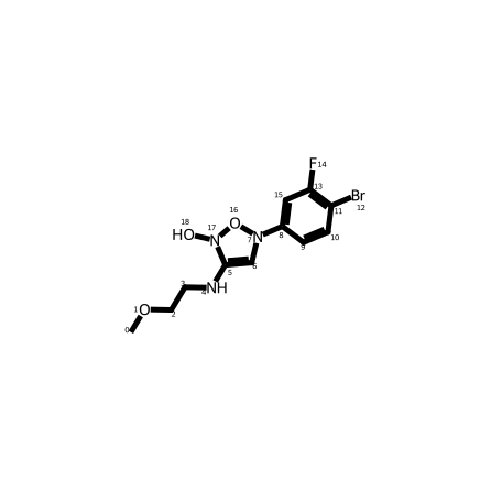 COCCNC1=CN(c2ccc(Br)c(F)c2)ON1O